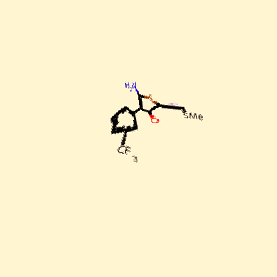 CS/C=C1/SC(N)=C(c2cccc(C(F)(F)F)c2)C1=O